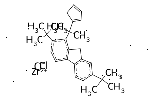 CC(C)(C)c1ccc2c(c1)Cc1c-2ccc(C(C)(C)C)c1C(C)(C)C1=CC=CC1.[Cl-].[Cl-].[Zr+2]